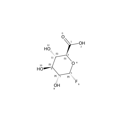 O=C(O)[C@H]1O[C@H](F)[C@H](O)[C@@H](O)[C@@H]1O